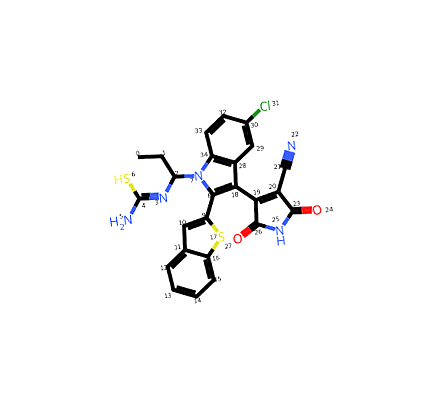 CCC(N=C(N)S)n1c(-c2cc3ccccc3s2)c(C2=C(C#N)C(=O)NC2=O)c2cc(Cl)ccc21